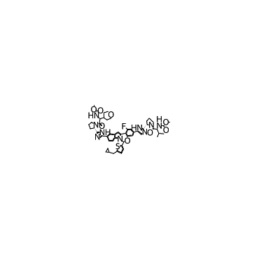 COC(=O)N[C@H](C(=O)N1CCC[C@H]1c1ncc(-c2cc(F)c3c(c2)OC(c2ccc(CC4CC4)s2)n2c-3cc3cc(-c4cnc([C@@H]5CCCN5C(=O)[C@@H](NC(=O)OC)C5CCOCC5)[nH]4)ccc32)[nH]1)C(C)C